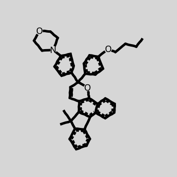 CCCCOc1ccc(C2(c3ccc(N4CCOCC4)cc3)C=Cc3c4c(c5ccccc5c3O2)-c2ccccc2C4(C)C)cc1